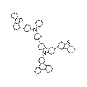 c1ccc(N(c2ccc(-c3ccc4c(c3)c3cc(-c5ccc6sc7ccccc7c6c5)ccc3n4-c3ccc4c5ccccc5c5ccccc5c4c3)cc2)c2ccc(-c3cccc4c3oc3ccccc34)cc2)cc1